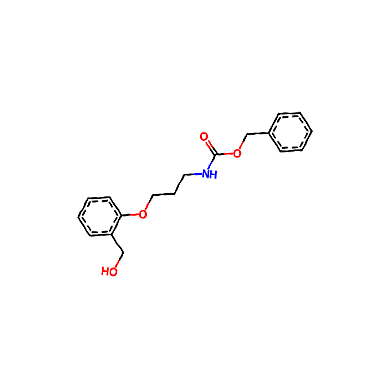 O=C(NCCCOc1ccccc1CO)OCc1ccccc1